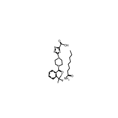 CCCCCCCC(N)=O.O=C(O)c1nnc(N2CCN(C(=O)c3ccccc3C(F)(F)F)CC2)s1